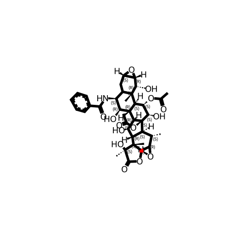 CC(=O)O[C@H]1[C@H]2[C@@H]([C@@H](O)[C@@H](NC(=O)c3ccccc3)C3C[C@@H]4O[C@@H]4[C@H](O)[C@@]32C)[C@@H]2[C@@H](O)[C@@H]3[C@H]([C@H](C)[C@H]4O[C@]45OC(=O)[C@@](C)(O)[C@]35C)[C@@]2(OC(C)=O)[C@H]1O